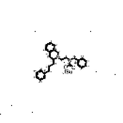 CC(C)(C)OC(=O)N(CCN1Cc2ccccc2CC1CCCc1ccccc1)Cc1ccccc1